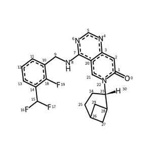 O=c1cc2ncnc(NCc3cccc(C(F)F)c3F)c2cn1[C@H]1CCC2CC1C2